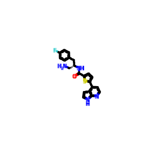 NC[C@H](Cc1ccc(F)cc1)NC(=O)c1ccc(-c2ccnc3[nH]ccc23)s1